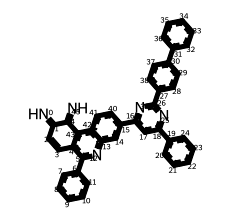 N=C1C=Cc2c(-c3ccccc3)nc3cc(-c4cc(-c5ccccc5)nc(-c5ccc(-c6ccccc6)cc5)n4)ccc3c2C1=N